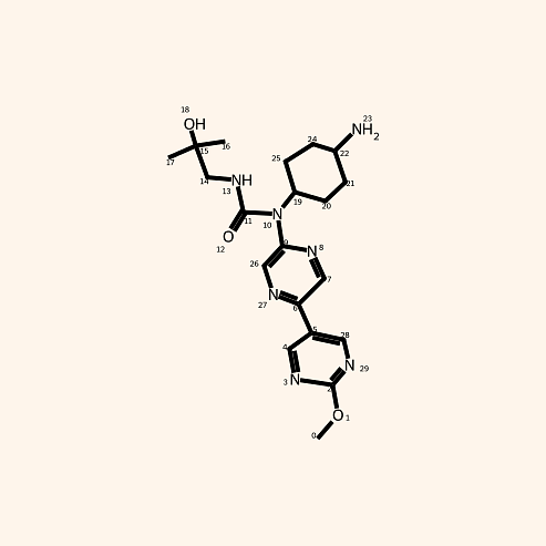 COc1ncc(-c2cnc(N(C(=O)NCC(C)(C)O)C3CCC(N)CC3)cn2)cn1